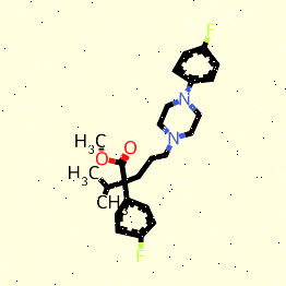 COC(=O)C(CCCN1CCN(c2ccc(F)cc2)CC1)(c1ccc(F)cc1)C(C)C